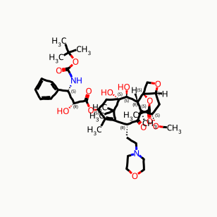 CO[C@H]1C[C@H]2OC[C@@]2(OC(C)=O)[C@H]2[C@H](O)[C@]3(O)C[C@H](OC(=O)[C@H](O)[C@@H](NC(=O)OC(C)(C)C)c4ccccc4)C(C)=C([C@@H](CCN4CCOCC4)C(=O)[C@]12C)C3(C)C